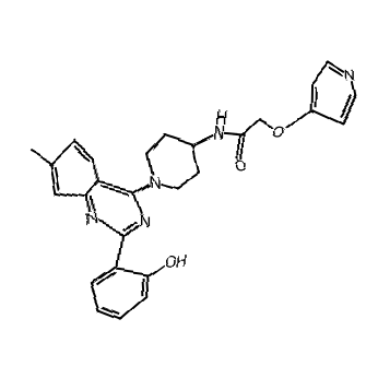 Cc1ccc2c(N3CCC(NC(=O)COc4ccncc4)CC3)nc(-c3ccccc3O)nc2c1